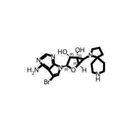 Nc1ncnc2c1c(Br)cn2[C@@H]1O[C@@H]2C(N3CCCC34CCNCC4)[C@]2(O)[C@H]1O